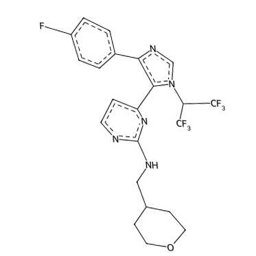 Fc1ccc(-c2ncn(C(C(F)(F)F)C(F)(F)F)c2-c2ccnc(NCC3CCOCC3)n2)cc1